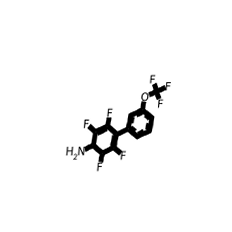 NC1C(F)=C(F)C(c2cccc(OC(F)(F)F)c2)=C(F)C1F